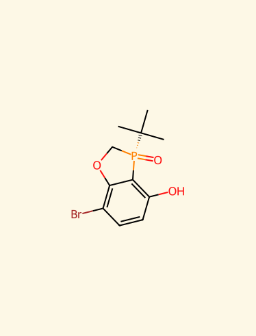 CC(C)(C)[P@@]1(=O)COc2c(Br)ccc(O)c21